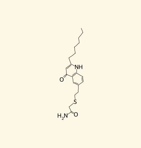 CCCCCCCc1cc(=O)c2cc(CCSCC(N)=O)ccc2[nH]1